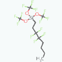 CCCCC(F)(F)C(F)(F)CC[Si](OC(F)(F)F)(OC(F)(F)F)OC(F)(F)F